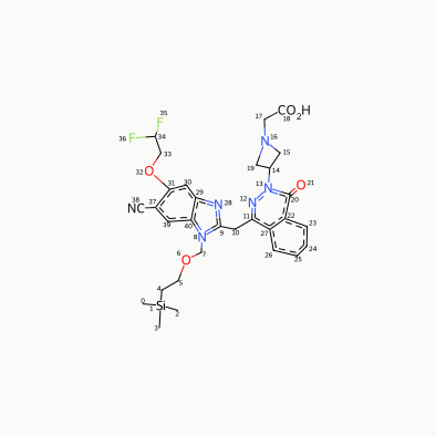 C[Si](C)(C)CCOCn1c(Cc2nn(C3CN(CC(=O)O)C3)c(=O)c3ccccc23)nc2cc(OCC(F)F)c(C#N)cc21